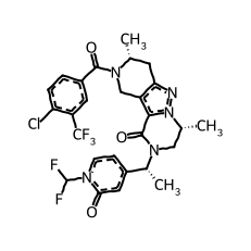 C[C@@H]1Cc2nn3c(c2CN1C(=O)c1ccc(Cl)c(C(F)(F)F)c1)C(=O)N([C@H](C)c1ccn(C(F)F)c(=O)c1)C[C@H]3C